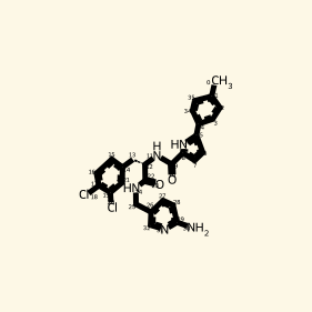 Cc1ccc(-c2ccc(C(=O)N[C@@H](Cc3ccc(Cl)c(Cl)c3)C(=O)NCc3ccc(N)nc3)[nH]2)cc1